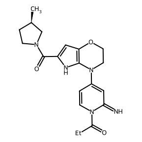 CCC(=O)n1ccc(N2CCOc3cc(C(=O)N4CC[C@@H](C)C4)[nH]c32)cc1=N